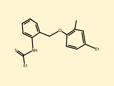 CCC(=S)Nc1ccccc1COc1ccc(CC)cc1C